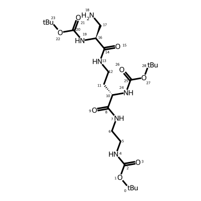 CC(C)(C)OC(=O)NCCNC(=O)[C@H](CCNC(=O)[C@H](CN)NC(=O)OC(C)(C)C)NC(=O)OC(C)(C)C